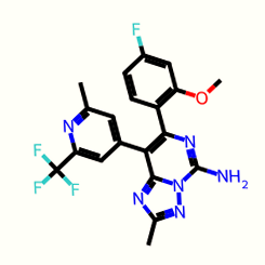 COc1cc(F)ccc1-c1nc(N)n2nc(C)nc2c1-c1cc(C)nc(C(F)(F)F)c1